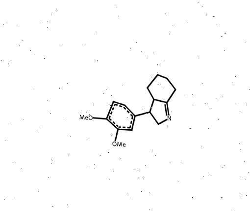 COc1ccc(C2CN=C3CCCCC32)cc1OC